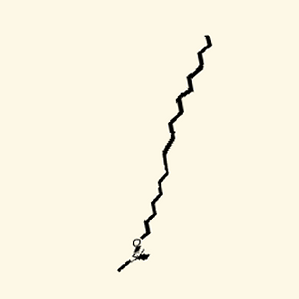 CCCCCCCCCCCCCCCCCCO[S+](C)C